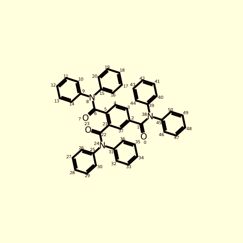 O=C(c1ccc(C(=O)N(c2ccccc2)c2ccccc2)c(C(=O)N(c2ccccc2)c2ccccc2)c1)N(c1ccccc1)c1ccccc1